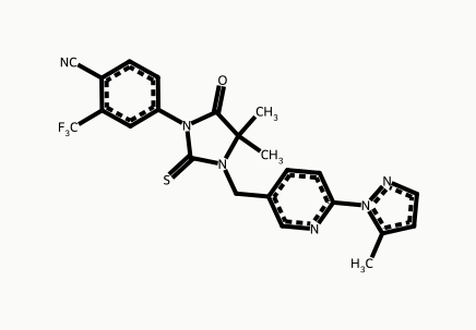 Cc1ccnn1-c1ccc(CN2C(=S)N(c3ccc(C#N)c(C(F)(F)F)c3)C(=O)C2(C)C)cn1